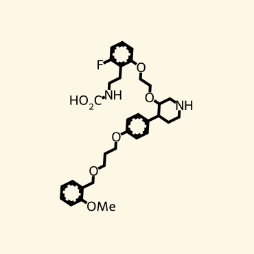 COc1ccccc1COCCCOc1ccc(C2CCNCC2OCCOc2cccc(F)c2CCNC(=O)O)cc1